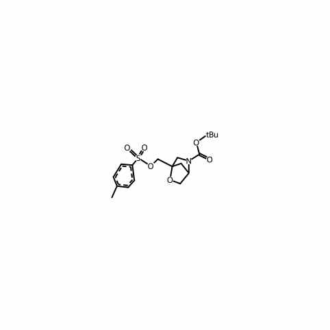 Cc1ccc(S(=O)(=O)OCC23CC(CO2)N(C(=O)OC(C)(C)C)C3)cc1